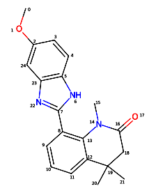 COc1ccc2[nH]c(-c3cccc4c3N(C)C(=O)CC4(C)C)nc2c1